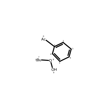 CC(=O)c1ccccc1.CC(C)(C)OO